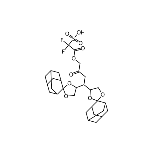 O=C(COC(=O)C(F)(F)S(=O)(=O)O)CC(C1COC2(O1)C1CC3CC(C1)CC2C3)C1COC2(O1)C1CC3CC(C1)CC2C3